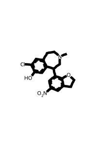 CN1CCc2cc(Cl)c(O)cc2C(c2cc([N+](=O)[O-])cc3c2OCC3)C1